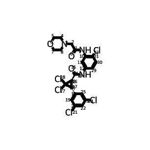 O=C(CN1CCOCC1)Nc1cc(NC(=O)[C@H]2[C@H](c3cc(Cl)cc(Cl)c3)C2(Cl)Cl)ccc1Cl